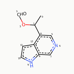 CC(OC=O)c1cncc2[nH]ccc12